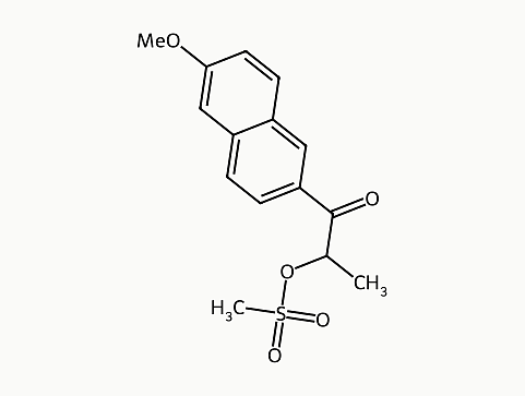 COc1ccc2cc(C(=O)C(C)OS(C)(=O)=O)ccc2c1